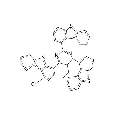 CCC1C(c2ccc(Cl)c3c2sc2ccccc23)=NC(c2cccc3sc4ccccc4c23)=NC1c1cccc2sc3ccccc3c12